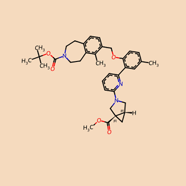 COC(=O)[C@]12C[C@H]1CN(c1cccc(-c3cc(C)ccc3OCc3ccc4c(c3C)CCN(C(=O)OC(C)(C)C)CC4)n1)C2